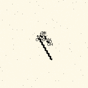 CCCCCCCCCCCCCCCC(=O)N(C)[C@H](CO)C(=O)N[C@H](C)C(=O)NCC(=O)O